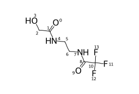 O=C(CO)NCCNC(=O)C(F)(F)F